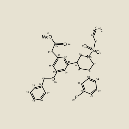 C=CCS(=O)(=O)N1CCCC(c2cc(CC(=O)OC)cc(OCc3ccccc3)c2)C1.Fc1ccccc1